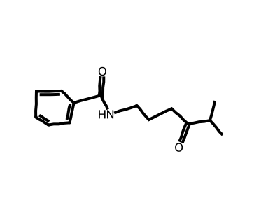 CC(C)C(=O)CCCNC(=O)c1ccccc1